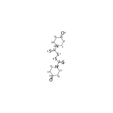 O=C1CCN(C(=S)SSC(=S)N2CCC(=O)CC2)CC1